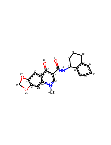 CCn1cc(C(=O)NC2CCCc3ccccc32)c(=O)c2cc3c(cc21)OCO3